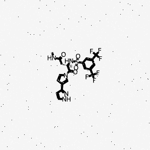 CNC(=O)C[C@H](NS(=O)(=O)c1cc(C(F)(F)F)cc(C(F)(F)F)c1)C(=O)n1ccc(-c2cc[nH]n2)c1